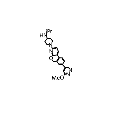 COc1cc(-c2ccc3c(c2)COc2nc(N4CCC(NC(C)C)CC4)ccc2-3)cnn1